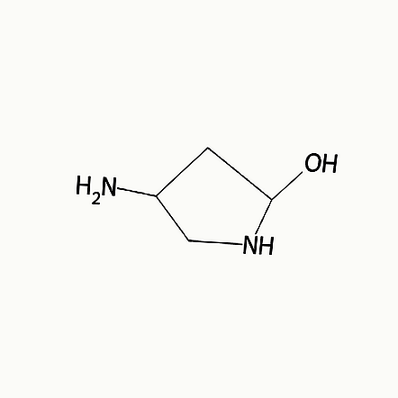 NC1CNC(O)C1